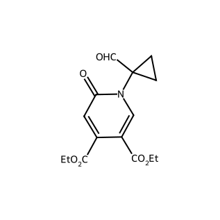 CCOC(=O)c1cc(=O)n(C2(C=O)CC2)cc1C(=O)OCC